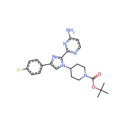 CC(C)(C)OC(=O)N1CCC(n2cc(-c3ccc(F)cc3)nc2-c2nccc(N)n2)CC1